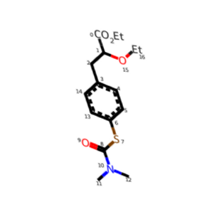 CCOC(=O)C(Cc1ccc(SC(=O)N(C)C)cc1)OCC